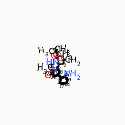 C=CCC(NC(=O)OC(C)(C)C)c1cc(-c2ccccc2N)cc(=O)n1C